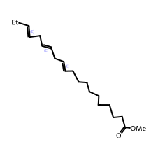 CC/C=C/C/C=C/C/C=C/CCCCCCCCCC(=O)OC